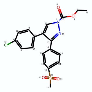 CCOC(=O)n1[c]c(-c2ccc(Cl)cc2)c(-c2ccc(S(C)(=O)=O)cc2)n1